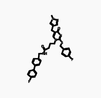 Cn1cc(Cc2cn(CCCC(=O)NCc3ccc(-c4ccc(F)cc4)cc3)c(SCc3ccc(F)cc3)nc2=O)cn1